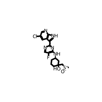 C[S+]([O-])CC1(O)CCC[C@@H](Nc2nc(-c3c[nH]c4ncc(Cl)cc34)ncc2F)C1